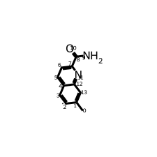 Cc1[c]cc2ccc(C(N)=O)nc2c1